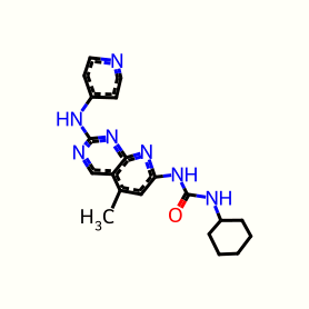 Cc1cc(NC(=O)NC2CCCCC2)nc2nc(Nc3ccncc3)ncc12